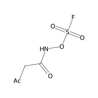 CC(=O)CC(=O)NOS(=O)(=O)F